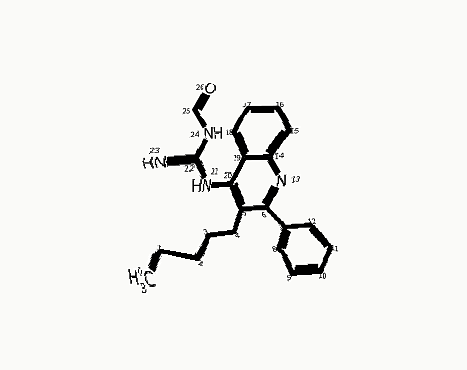 CCCCCc1c(-c2ccccc2)nc2ccccc2c1NC(=N)NC=O